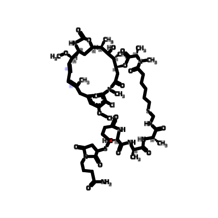 COc1cc2cc(c1Cl)N(C)C(=O)C[C@H](OC(=O)[C@H](C)N(C)C(=O)CCCCCSCNC(=O)[C@H](C)NC(=O)[C@@H](C)NC(=O)[C@H](C)NC(=O)CCCSC1CC(=O)N(CCCC(N)=O)C1=O)[C@@H](C)C(O)[C@H](C)[C@@H]1C[C@H](NC(=O)O1)[C@H](OC)/C=C/C=C(\C)C2